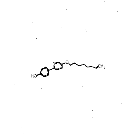 C=CCCCCCCOc1ccc(-c2ccc(O)cc2)nc1